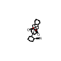 N#Cc1ccccc1N1C(=O)C2C3c4ccccc4C(c4ccccc43)C2C1=O